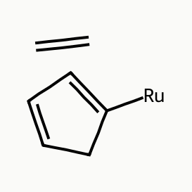 C=C.[Ru][C]1=CC=CC1